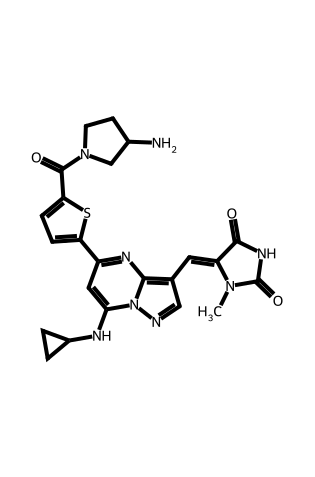 CN1C(=O)NC(=O)/C1=C/c1cnn2c(NC3CC3)cc(-c3ccc(C(=O)N4CCC(N)C4)s3)nc12